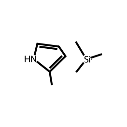 C[Si](C)C.Cc1ccc[nH]1